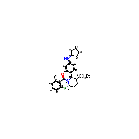 CCOC(=O)[C@H]1CCCN(C(=O)c2c(C)cccc2F)C1c1ccc(NC2CCCC2)cc1